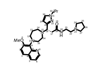 COc1ccc2cccnc2c1N1CCCN([C@@H](CC(=O)NCCN2CCCC2)c2ccn(C(C)C)n2)CC1